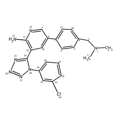 CN(C)Cc1ccc(-c2cnc(N)c(-c3nnnn3-c3cccc(Cl)c3)c2)cc1